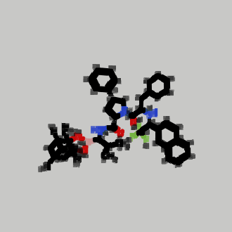 CC(C)[C@H](NC(=O)[C@@H]1C[C@H](c2ccccc2)CN1C(=O)[C@@H](CC1CCCCC1)N[C@H](c1ccc2ccccc2c1)C(F)(F)F)B1O[C@@H]2C[C@@H]3C[C@@H](C3(C)C)[C@]2(C)O1